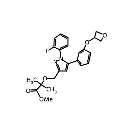 COC(=O)C(C)(C)OCc1cc(-c2cccc(OC3COC3)c2)n(-c2ccccc2F)n1